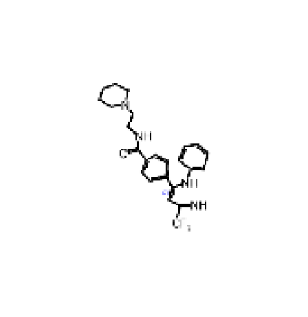 N=C(/C=C(\Nc1ccccc1)c1ccc(C(=O)NCCN2CCCCC2)cc1)C(F)(F)F